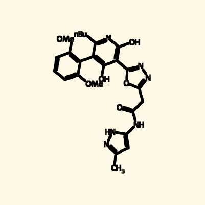 CCCCc1nc(O)c(-c2nnc(CC(=O)Nc3cc(C)n[nH]3)o2)c(O)c1-c1c(OC)cccc1OC